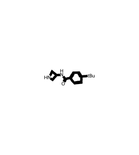 CC(C)(C)c1ccc(C(=O)NC2CNC2)cc1